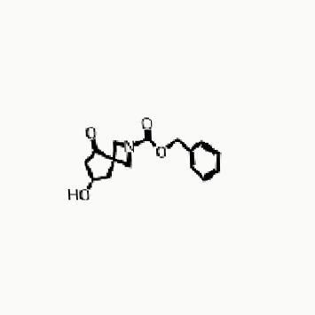 O=C(OCc1ccccc1)N1CC2(C[C@@H](O)CC2=O)C1